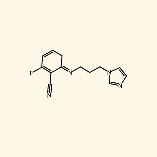 N#CC1=C(F)C=CCC1=NCCCn1ccnc1